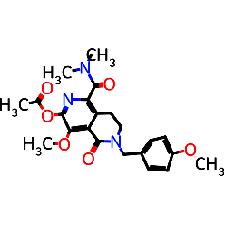 COc1ccc(CN2CCc3c(C(=O)N(C)C)nc(OC(C)=O)c(OC)c3C2=O)cc1